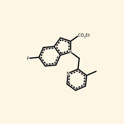 CCOC(=O)c1cc2cc(F)ccc2n1Cc1ncccc1C